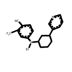 CCN(c1ccc(C#N)c(C(F)(F)F)c1)C1CCCC(c2cccnc2)C1